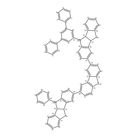 c1ccc(-c2cc(-c3ccccc3)cc(N3c4ccc(-c5ccc6sc7ccc(-c8ccc9c(c8)C8Cc%10ccccc%10C8N9c8ccccc8)cc7c6c5)cc4C4Cc5ccccc5C43)c2)cc1